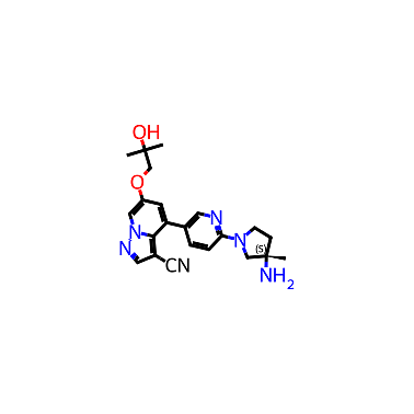 CC(C)(O)COc1cc(-c2ccc(N3CC[C@](C)(N)C3)nc2)c2c(C#N)cnn2c1